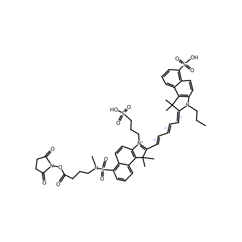 CCCN1/C(=C/C=C/C=C/C2=[N+](CCCS(=O)(=O)O)c3ccc4c(S(=O)(=O)N(C)CCCC(=O)ON5C(=O)CCC5=O)cccc4c3C2(C)C)C(C)(C)c2c1ccc1c(S(=O)(=O)O)cccc21